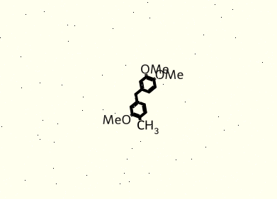 COc1cc(Cc2ccc(OC)c(OC)c2)ccc1C